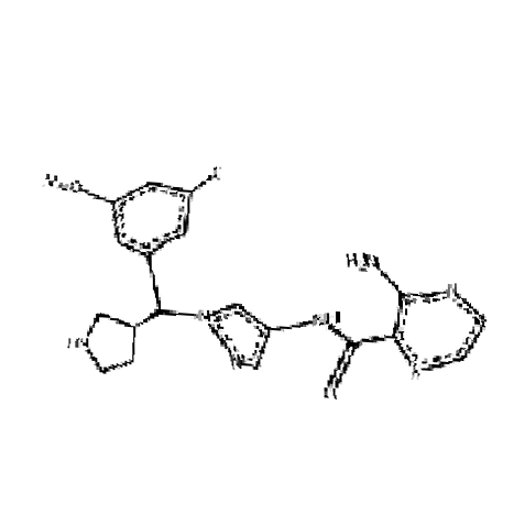 COc1cc(Cl)cc(C([C@H]2CCNC2)n2cc(NC(=O)c3nccnc3N)cn2)c1